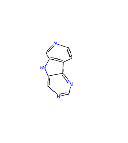 c1cc2c(cn1)[nH]c1cncnc12